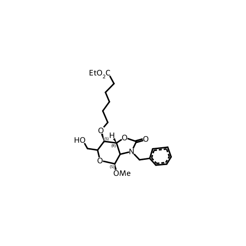 CCOC(=O)CCCCCO[C@@H]1C(CO)O[C@H](OC)C2[C@H]1OC(=O)N2Cc1ccccc1